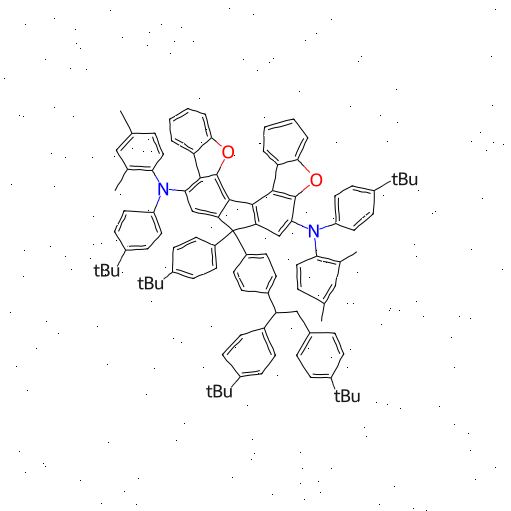 Cc1ccc(N(c2ccc(C(C)(C)C)cc2)c2cc3c(c4c2oc2ccccc24)-c2c(cc(N(c4ccc(C(C)(C)C)cc4)c4ccc(C)cc4C)c4c2oc2ccccc24)C3(c2ccc(C(Cc3ccc(C(C)(C)C)cc3)c3ccc(C(C)(C)C)cc3)cc2)c2ccc(C(C)(C)C)cc2)c(C)c1